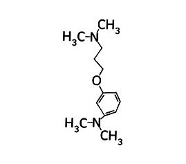 CN(C)CCCOc1cccc(N(C)C)c1